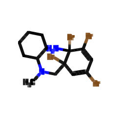 CN(CC1(Br)C=C(Br)C=C(Br)C1(N)Br)C1CCCCC1